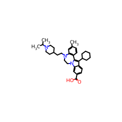 Cc1ccc2c(c1)N(CCC1CCN(C(C)C)CC1)CCn1c-2c(C2CCCCC2)c2ccc(C(=O)O)cc21